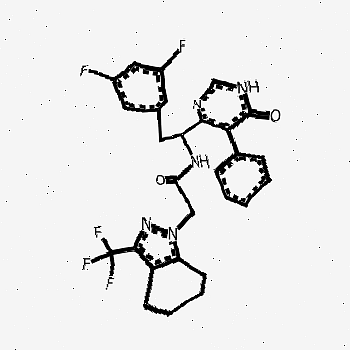 O=C(Cn1nc(C(F)(F)F)c2c1CCCC2)NC(Cc1cc(F)cc(F)c1)c1nc[nH]c(=O)c1-c1ccccc1